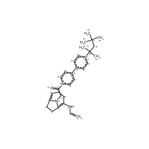 C=CNC1=C2CCC(=CCC1)N2CC(=O)[n+]1ccc(-c2cc[n+](C(C)(C)CC(C)(C)C)cc2)cc1